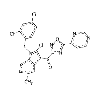 Cc1ccc2c(c1)c(C(=O)c1noc(-c3ccncn3)n1)c(Cl)n2Cc1ccc(Cl)cc1Cl